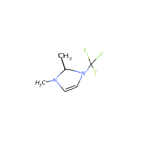 CC1N(C)C=CN1C(F)(F)F